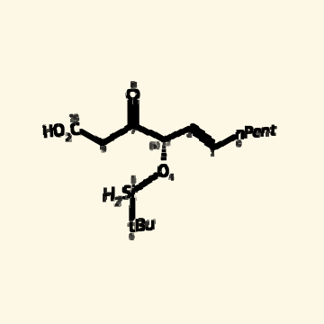 CCCCCC=C[C@H](O[SiH2]C(C)(C)C)C(=O)CC(=O)O